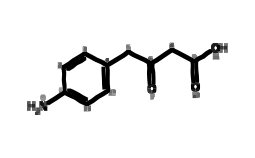 Nc1ccc(CC(=O)CC(=O)O)cc1